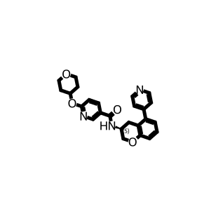 O=C(N[C@@H]1COc2cccc(-c3ccncc3)c2C1)c1ccc(OC2CCOCC2)nc1